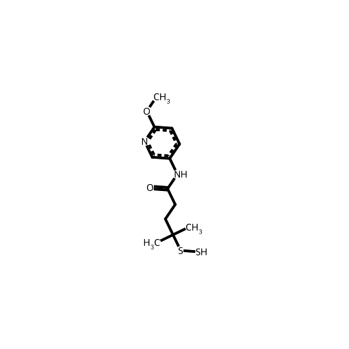 COc1ccc(NC(=O)CCC(C)(C)SS)cn1